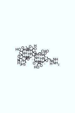 CC(C)C[C@@H]([C]=O)NC(=O)[C@H](CCCNC(=N)N)NC(=O)[C@H](C)NC(=O)[C@@H](NC(=O)[C@H](C)NC(=O)[C@H](CS)NC(=O)[C@@H](NC(=O)[C@H](C)NC(=O)[C@@H](NC(=O)[C@H](CC(N)=O)NC(=O)[C@@H](N)CS)[C@@H](C)O)[C@@H](C)O)[C@@H](C)O